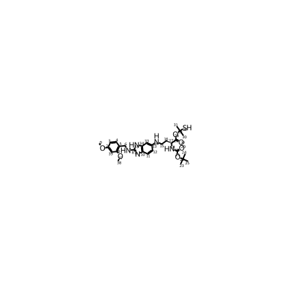 COc1ccc(CNc2nc3ccc(NCC[C@H](NC(=O)OC(C)(C)C)C(=O)OC(C)(C)S)cc3[nH]2)c(OC)c1